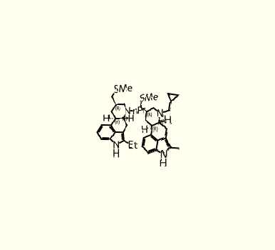 CCCN1C[C@H](CSC)C[C@@H]2c3cccc4[nH]c(CC)c(c34)C[C@H]21.CSC[C@@H]1C[C@@H]2c3cccc4[nH]c(C)c(c34)C[C@H]2N(CC2CC2)C1